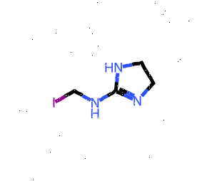 ICNC1=NCCN1